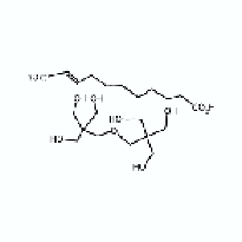 CCCCCCCCC=CCCCCCCCC(=O)O.OCC(CO)(CO)COCC(CO)(CO)CO